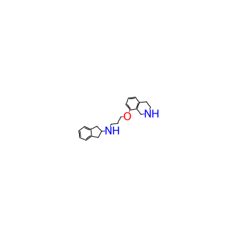 c1ccc2c(c1)CC(NCCCOc1cccc3c1CNCC3)C2